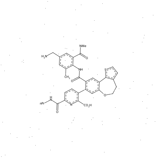 CCCNC(=O)c1ccc(-c2cc3c(cc2C(=O)Nc2c(C)cc(CN)cc2C(=O)NC)-c2sccc2CCO3)c(C(=O)O)n1